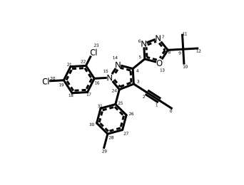 CC#Cc1c(-c2nnc(C(C)(C)C)o2)nn(-c2ccc(Cl)cc2Cl)c1-c1ccc(C)cc1